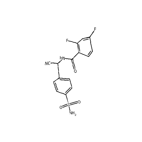 N#CC(NC(=O)c1ccc(F)cc1F)c1ccc(S(N)(=O)=O)cc1